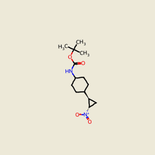 CC(C)(C)OC(=O)NC1CCC([C@H]2C[C@@H]2[N+](=O)[O-])CC1